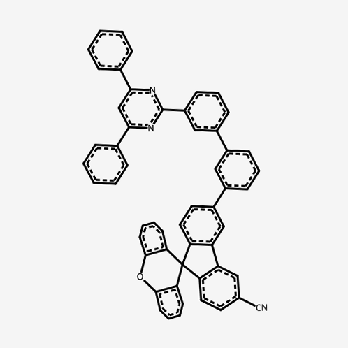 N#Cc1ccc2c(c1)-c1cc(-c3cccc(-c4cccc(-c5nc(-c6ccccc6)cc(-c6ccccc6)n5)c4)c3)ccc1C21c2ccccc2Oc2ccccc21